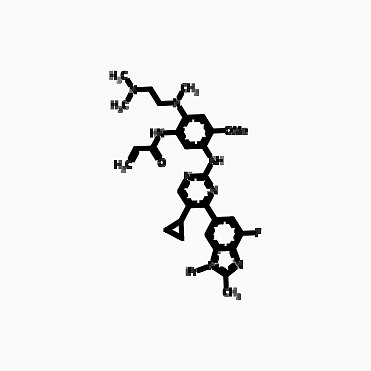 C=CC(=O)Nc1cc(Nc2ncc(C3CC3)c(-c3cc(F)c4nc(C)n(C(C)C)c4c3)n2)c(OC)cc1N(C)CCN(C)C